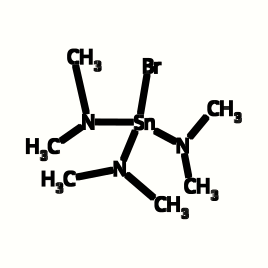 C[N](C)[Sn]([Br])([N](C)C)[N](C)C